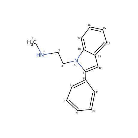 CNCCn1c(-c2ccccc2)cc2ccccc21